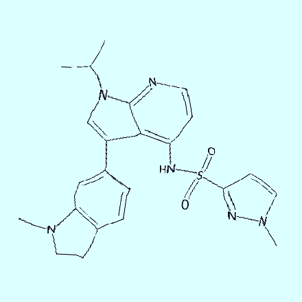 CC(C)n1cc(-c2ccc3c(c2)N(C)CC3)c2c(NS(=O)(=O)c3ccn(C)n3)ccnc21